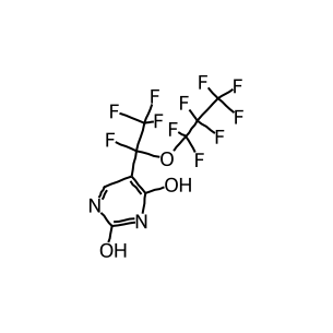 Oc1ncc(C(F)(OC(F)(F)C(F)(F)C(F)(F)F)C(F)(F)F)c(O)n1